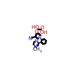 CN1CCN(c2ncccc2C#N)[C@@H](c2ccccc2)C1.O=C(O)C(=O)O